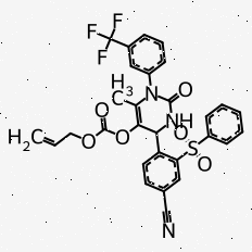 C=CCOC(=O)OC1=C(C)N(c2cccc(C(F)(F)F)c2)C(=O)NC1c1ccc(C#N)cc1S(=O)(=O)c1ccccc1